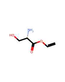 C=COC(=O)[C@@H](N)CO